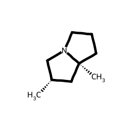 C[C@@H]1CN2CCC[C@@]2(C)C1